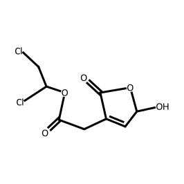 O=C(CC1=CC(O)OC1=O)OC(Cl)CCl